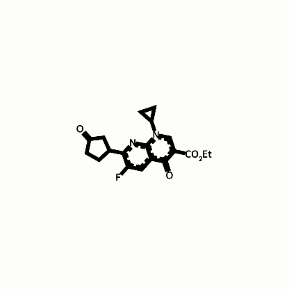 CCOC(=O)c1cn(C2CC2)c2nc(C3CCC(=O)C3)c(F)cc2c1=O